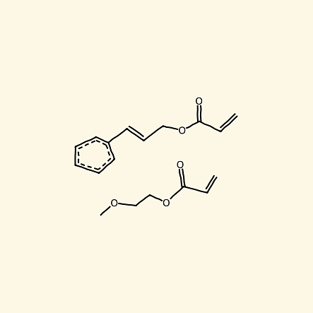 C=CC(=O)OCC=Cc1ccccc1.C=CC(=O)OCCOC